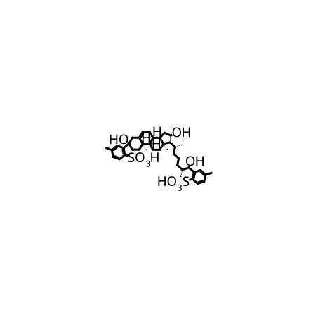 Cc1ccc(S(=O)(=O)O)c(C(O)[C@H](C)CCC[C@@H](C)[C@H]2C(O)C[C@H]3[C@@H]4CC=C5C[C@@](O)(c6cc(C)ccc6S(=O)(=O)O)CC[C@]5(C)[C@H]4CC[C@]23C)c1